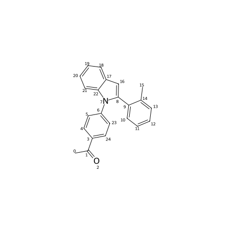 CC(=O)c1ccc(-n2c(-c3ccccc3C)cc3ccccc32)cc1